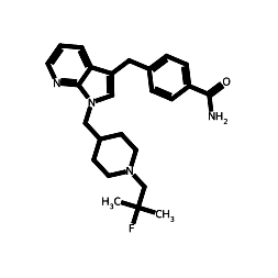 CC(C)(F)CN1CCC(Cn2cc(Cc3ccc(C(N)=O)cc3)c3cccnc32)CC1